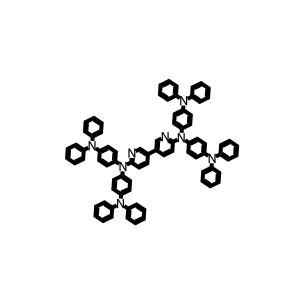 c1ccc(N(c2ccccc2)c2ccc(N(c3ccc(N(c4ccccc4)c4ccccc4)cc3)c3ccc(-c4ccc(N(c5ccc(N(c6ccccc6)c6ccccc6)cc5)c5ccc(N(c6ccccc6)c6ccccc6)cc5)nc4)cn3)cc2)cc1